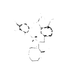 COc1ccc(CN(C2CCCCNC2=O)S(=O)(=O)c2ccc(F)c(F)c2)cc1OC